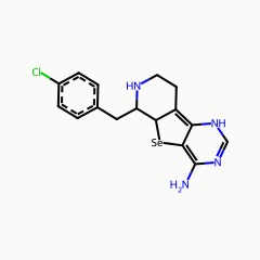 NC1=C2[Se]C3C(=C2NC=N1)CCNC3Cc1ccc(Cl)cc1